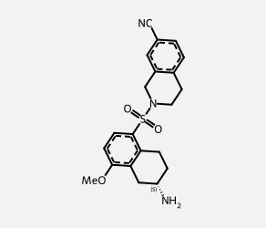 COc1ccc(S(=O)(=O)N2CCc3ccc(C#N)cc3C2)c2c1C[C@@H](N)CC2